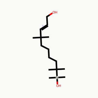 CC(C)(/C=C/CO)CCCCC(C)(C)[Si](C)(C)O